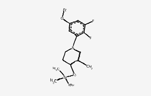 CCOc1cc(F)c(F)c(N2CCC(O[Si](C)(C)C(C)(C)C)C(C)C2)c1